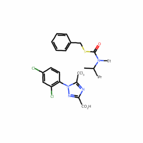 CCN(C(=O)SCc1ccccc1)C(C)C(C)C.O=C(O)c1nc(C(Cl)(Cl)Cl)n(-c2ccc(Cl)cc2Cl)n1